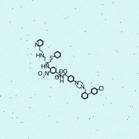 O=C(NS(=O)(=O)c1ccc(N[C@H](CCNCCc2ccccn2)CSc2ccccc2)c([N+](=O)[O-])c1)c1ccc(N2CCN(Cc3ccccc3-c3ccc(Cl)cc3)CC2)cc1